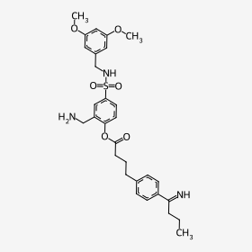 CCCC(=N)c1ccc(CCCC(=O)Oc2ccc(S(=O)(=O)NCc3cc(OC)cc(OC)c3)cc2CN)cc1